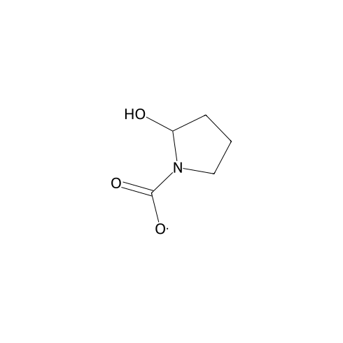 [O]C(=O)N1CCCC1O